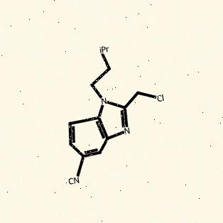 [C-]#[N+]c1ccc2c(c1)nc(CCl)n2CCC(C)C